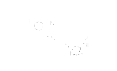 CC(C)NCC(C(=O)N1CC2CN(c3ncnc4c3[C@H](C)CC(=O)N4)CC2C1)c1ccc(Cl)cc1